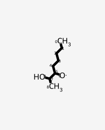 CCCCCC([O])C(C)O